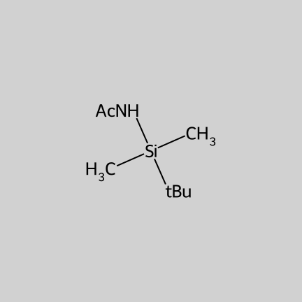 CC(=O)N[Si](C)(C)C(C)(C)C